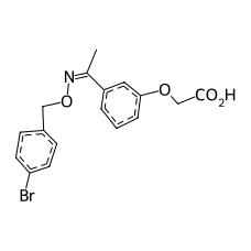 CC(=NOCc1ccc(Br)cc1)c1cccc(OCC(=O)O)c1